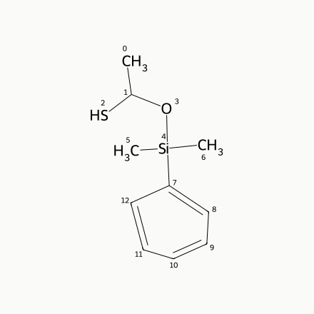 CC(S)O[Si](C)(C)c1ccccc1